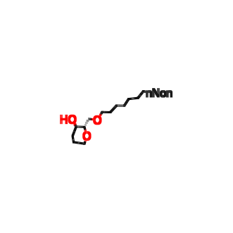 CCCCCCCCCCCCCCCCOC[C@@H]1OCCC[C@H]1O